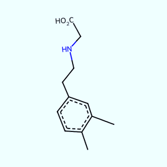 Cc1ccc(CCNCC(=O)O)cc1C